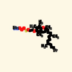 CCNOOOSOCCOc1c(C)c(C)c2c(c1C)CC[C@@](C)(CCC[C@H](C)CCC[C@H](C)CCCC(C)C)O2